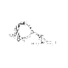 CC[C@@H]1NC(=O)[C@@H]2CCCN2C(=O)[C@@H]2CCCN2C(=O)CCSCc2cc(CSCCNC(=O)CN3CCN(CC(=O)O)CCN(CC(=O)O)CC3)cc(c2)CSCCNC(=O)[C@H](Cc2ccccc2)NC(=O)[C@H](CCC(N)=O)NC1=O